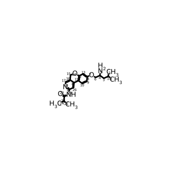 CC(C)CC(N)COc1ccc2c(c1)OCc1cnc(NC(=O)C(C)C)cc1-2